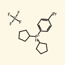 CC(C)c1ccc([PH+](C2CCCC2)C2CCCC2)cc1.F[B-](F)(F)F